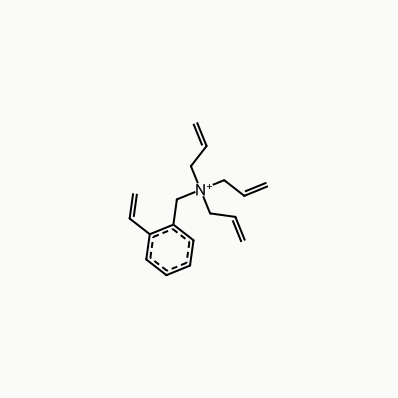 C=CC[N+](CC=C)(CC=C)Cc1ccccc1C=C